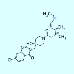 C=C(/C=C\C=C/C)[C@H](C)CC(=O)N1CCC(O)(Cn2cnc3cc(Cl)ccc3c2=O)CC1